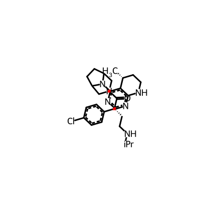 CC(C)NCC[C@@H](C(=O)N1CC2CCC(C1)N2c1ncnc2c1[C@H](C)CCN2)c1ccc(Cl)cc1